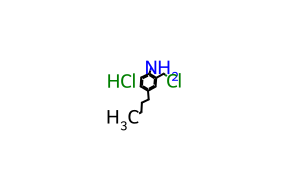 CCCCc1ccc(N)c(CCl)c1.Cl